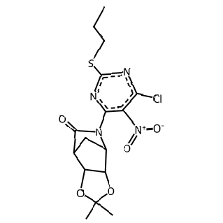 CCCSc1nc(Cl)c([N+](=O)[O-])c(N2C(=O)C3CC2C2OC(C)(C)OC32)n1